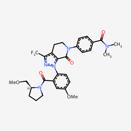 COC[C@@H]1CCCN1C(=O)c1cc(OC)ccc1-n1nc(C(F)(F)F)c2c1C(=O)N(c1ccc(C(=O)N(C)C)cc1)CC2